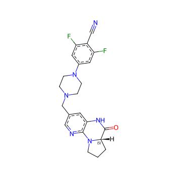 N#Cc1c(F)cc(N2CCN(Cc3cnc4c(c3)NC(=O)[C@@H]3CCCN43)CC2)cc1F